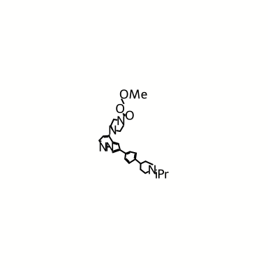 COCCOC(=O)N1CCN(c2ccnn3cc(-c4ccc(C5CCN(C(C)C)CC5)cc4)cc23)CC1